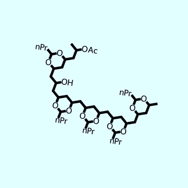 CCCC1OC(C)CC(CC2CC(CC3CC(CC4CC(CC(O)CC5CC(CC(C)OC(C)=O)OC(CCC)O5)OC(CCC)O4)OC(CCC)O3)OC(CCC)O2)O1